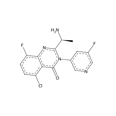 C[C@H](N)c1nc2c(F)ccc(Cl)c2c(=O)n1-c1cncc(F)c1